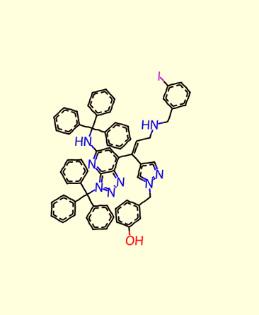 Oc1cccc(Cn2cc(/C(=C\CNCc3cccc(I)c3)c3cc(NC(c4ccccc4)(c4ccccc4)c4ccccc4)nc4c3nnn4C(c3ccccc3)(c3ccccc3)c3ccccc3)cn2)c1